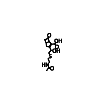 CC(=O)NCCSCC(O)C1=C(C(=O)O)C2C(=O)CC2C1